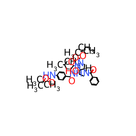 CC(C)C[C@H](NC(=O)c1ccc(NC(=O)OC(C)(C)C)cc1)C(=O)N1N(C(=O)OC(C)(C)C)C[C@H]2N(C(=O)c3ccccc3)CC[C@]21O